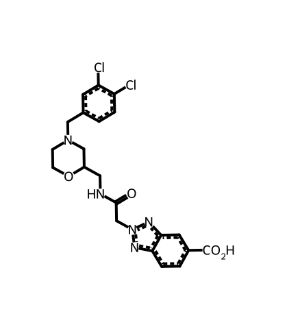 O=C(Cn1nc2ccc(C(=O)O)cc2n1)NCC1CN(Cc2ccc(Cl)c(Cl)c2)CCO1